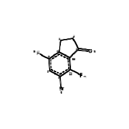 O=C1CCc2c(F)cc(Br)c(F)c21